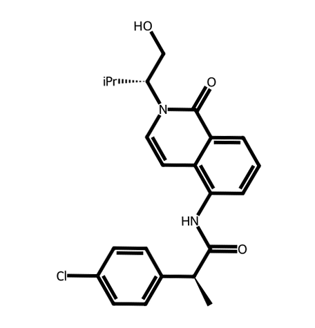 CC(C)[C@H](CO)n1ccc2c(NC(=O)[C@@H](C)c3ccc(Cl)cc3)cccc2c1=O